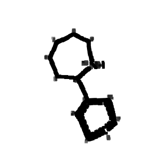 c1ccc(C2CCCCCN2)cc1